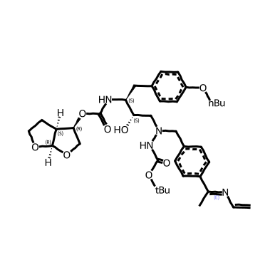 C=C/N=C(\C)c1ccc(CN(C[C@H](O)[C@H](Cc2ccc(OCCCC)cc2)NC(=O)O[C@H]2CO[C@H]3OCC[C@H]32)NC(=O)OC(C)(C)C)cc1